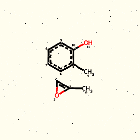 CC1=CO1.Cc1ccccc1O